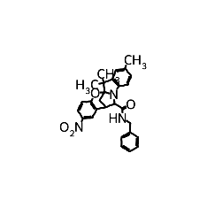 Cc1ccc2c(c1)C(C)(C)C13CC(c4cc([N+](=O)[O-])ccc4O1)C(C(=O)NCc1ccccc1)N23